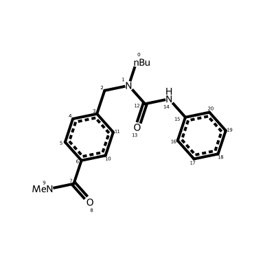 CCCCN(Cc1ccc(C(=O)NC)cc1)C(=O)Nc1ccccc1